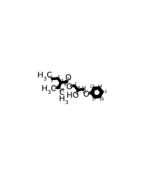 CCCC(C(=O)OCC(O)COc1ccccc1)C(C)C